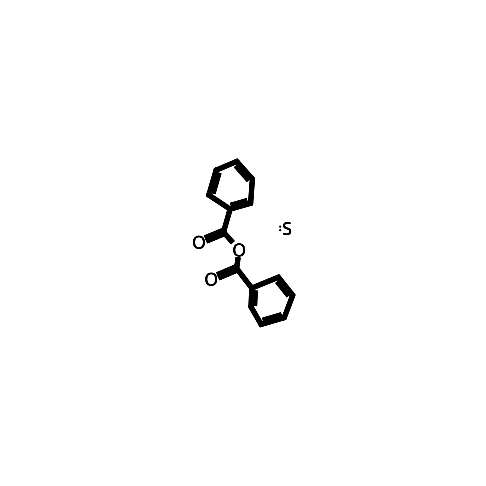 O=C(OC(=O)c1ccccc1)c1ccccc1.[S]